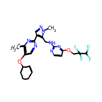 Cc1nc(-c2cnn(C)c2CNc2nccc(OCC(F)(F)C(F)F)n2)ncc1OC1CCCCC1